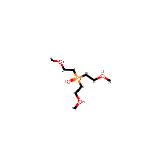 COCCP(=O)(CCOC)CCOC